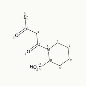 CCC(=O)CC(=O)N1CCCCC1C(=O)O